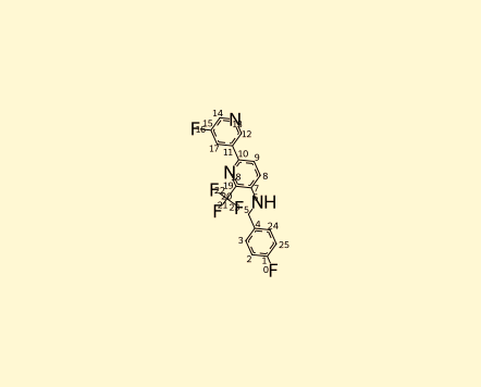 Fc1ccc(CNc2ccc(-c3cncc(F)c3)nc2C(F)(F)F)cc1